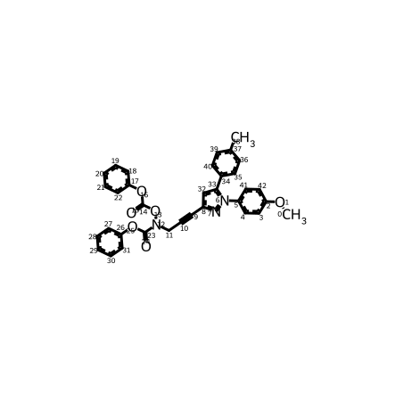 COc1ccc(-n2nc(C#CCN(OC(=O)Oc3ccccc3)C(=O)Oc3ccccc3)cc2-c2ccc(C)cc2)cc1